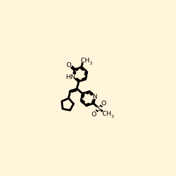 Cc1ccc(C(=CC2CCCC2)c2ccc(S(C)(=O)=O)nc2)[nH]c1=O